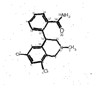 CN1Cc2c(Cl)cc(Cl)cc2C(c2ccccc2C(N)=O)C1